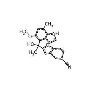 COc1cc(C)c2[nH]ccc2c1C(C)(O)c1cc2cc(C#N)ccc2o1